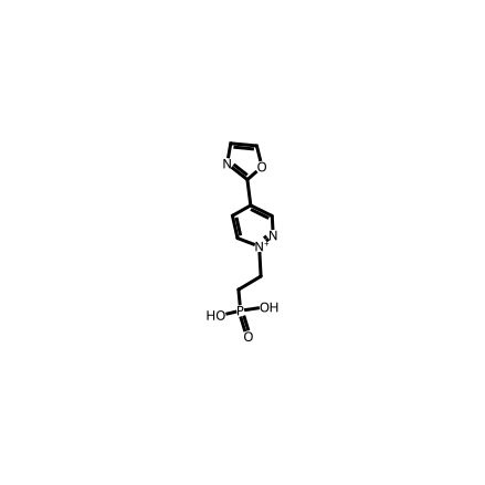 O=P(O)(O)CC[n+]1ccc(-c2ncco2)cn1